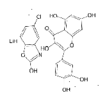 O=c1c(O)c(-c2ccc(O)c(O)c2)oc2cc(O)cc(O)c12.Oc1nc2cc(Cl)ccc2o1.[LiH]